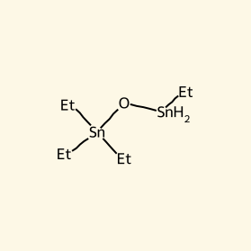 C[CH2][SnH2][O][Sn]([CH2]C)([CH2]C)[CH2]C